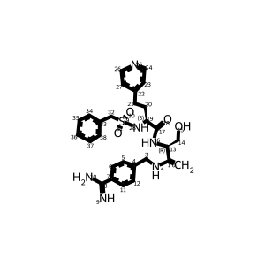 C=C(NCc1ccc(C(=N)N)cc1)[C@H](CO)NC(=O)[C@H](CCc1ccncc1)NS(=O)(=O)Cc1ccccc1